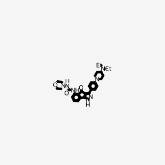 CCN(CC)C1CCN(c2ccc(-c3n[nH]c4c3C(=O)c3c(NC(=O)NN5CCOCC5)cccc3-4)cc2)CC1